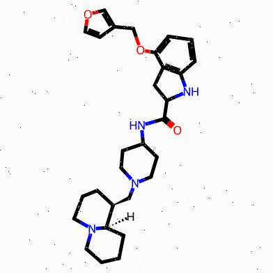 O=C(NC1CCN(C[C@@H]2CCCN3CCCC[C@H]23)CC1)C1Cc2c(cccc2OCc2ccoc2)N1